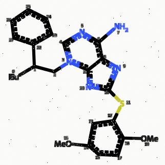 CCC(C)C(Cn1cnc(N)c2nc(Sc3cc(OC)ccc3OC)nc1-2)c1ccccc1